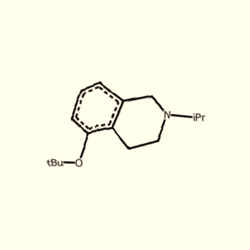 CC(C)N1CCc2c(cccc2OC(C)(C)C)C1